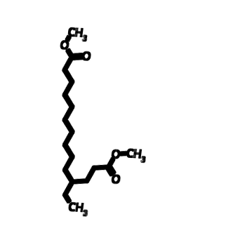 CCC(CCCCCCCCCC(=O)OC)CCC(=O)OC